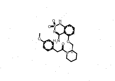 COc1ccc(CC(=O)N2CCCC[C@@H]2COc2cccc3c2C(N)=NS(=O)(=O)N3)cc1